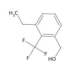 CCc1cccc([CH]O)c1C(F)(F)F